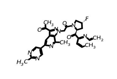 C=C/N=C(\C=C/C)C(=O)[C@@H]1C[C@@H](F)CN1C(=O)Cn1nc(C(C)=O)c2cc(-c3cnc(C)nc3)nc(C)c21